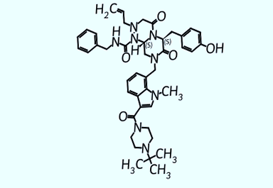 C=CCN1CC(=O)N2[C@@H](Cc3ccc(O)cc3)C(=O)N(Cc3cccc4c(C(=O)N5CCN(C(C)(C)C)CC5)cn(C)c34)C[C@@H]2N1C(=O)NCc1ccccc1